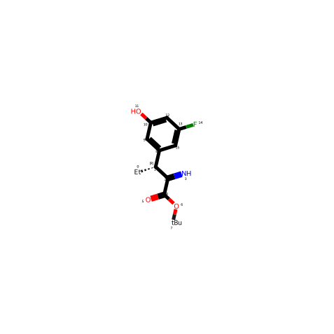 CC[C@@H](C(=N)C(=O)OC(C)(C)C)c1cc(O)cc(F)c1